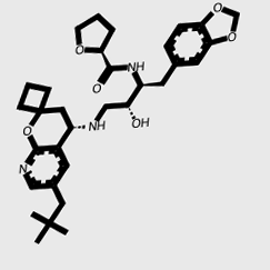 CC(C)(C)Cc1cnc2c(c1)[C@@H](NC[C@@H](O)[C@H](Cc1ccc3c(c1)OCO3)NC(=O)[C@@H]1CCCO1)CC1(CCC1)O2